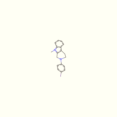 Cn1c2c(c3ccccc31)CCN(c1ccc(I)cc1)C2